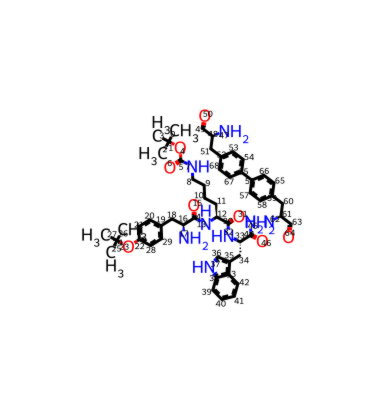 CC(C)(C)OC(=O)NCCCC[C@H](NC(=O)[C@@H](N)Cc1ccc(OC(C)(C)C)cc1)C(=O)N[C@@H](Cc1c[nH]c2ccccc12)C(N)=O.N[C@H](C=O)Cc1ccc(-c2ccc(C[C@H](N)C=O)cc2)cc1